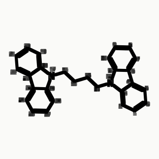 c1ccc2c(c1)c1ccccc1n2CCCCn1c2ccccc2c2ccccc21